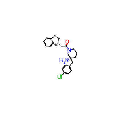 N[C@@]1(Cc2ccc(Cl)cc2)CCCN(C(=O)C[C@H]2CCc3ccccc32)C1